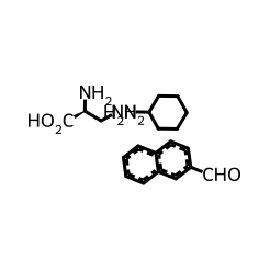 NC1CCCCC1.NC[C@H](N)C(=O)O.O=Cc1ccc2ccccc2c1